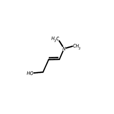 CN(C)/C=C/CO